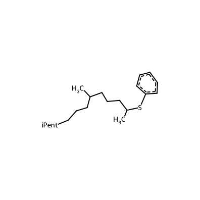 CCCC(C)CCCC(C)CCC[C](C)Sc1ccccc1